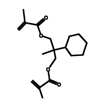 C=C(C)C(=O)OCC(C)(COC(=O)C(=C)C)C1CCCCC1